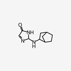 O=C1C=NC(NC2CC3CCC2C3)N1